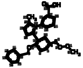 COOSc1ccc(OCc2ccccc2)c(-c2ccc(C)n2-c2cccc(C(=O)O)c2)c1